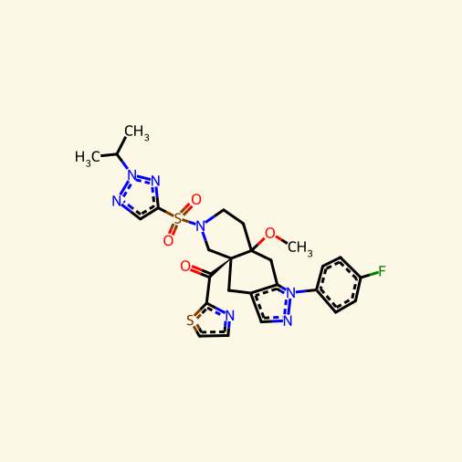 COC12CCN(S(=O)(=O)c3cnn(C(C)C)n3)C[C@@]1(C(=O)c1nccs1)Cc1cnn(-c3ccc(F)cc3)c1C2